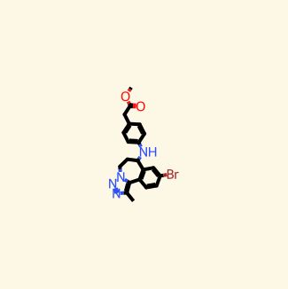 COC(=O)Cc1ccc(NC2CCn3nnc(C)c3-c3ccc(Br)cc32)cc1